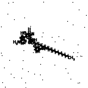 CCCCCCCCCCCCCCCCCCOC[C@H](COP(=O)(O)OC[C@@]1(C#N)O[C@@H](c2ccc3c(N)ncnn23)[C@H](O)[C@@H]1O)Oc1cccc(C#N)c1